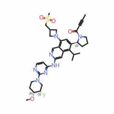 CC#CC(=O)N1CCC[C@H]1c1cc(N2CC(CS(C)(=O)=O)C2)c2cnc(Nc3ccnc(N4CC[C@@H](OC)[C@@H](F)C4)n3)cc2c1C(C)C